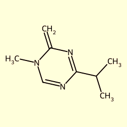 C=C1N=C(C(C)C)N=CN1C